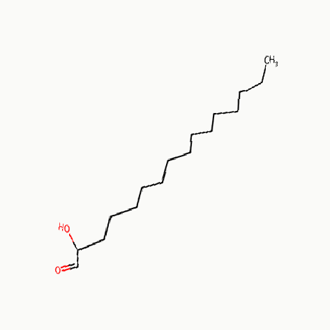 CCCCCCCCCCCCCCC(O)C=O